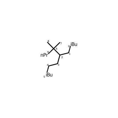 [CH2]C(CC)CC(CCC(C)CC)C(C)(C)CCC